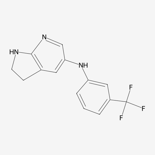 FC(F)(F)c1cccc(Nc2cnc3c(c2)CCN3)c1